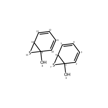 OC12C=CC=CC1S2.OC12C=CC=CC1S2